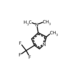 Cc1ncc(C(F)(F)F)cc1N(C)C